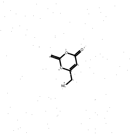 C=C1OC(=O)C=C(CC#N)O1